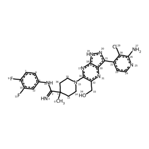 CC1(C(=N)Nc2ccc(F)c(F)c2)CCN(c2nc3[nH]nc(-c4ccnc(N)c4Cl)c3nc2CO)CC1